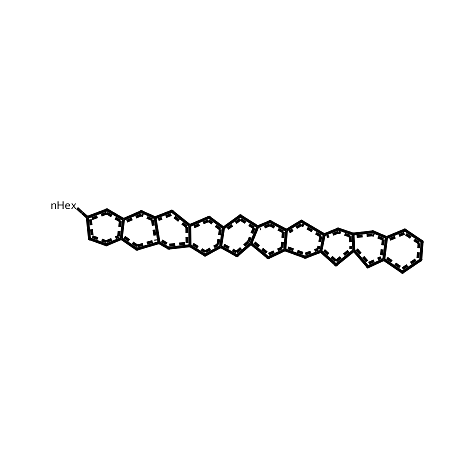 CCCCCCc1ccc2cc3cc4cc5cc6cc7cc8cc9cc%10ccccc%10cc9cc8cc7cc6cc5cc4cc3cc2c1